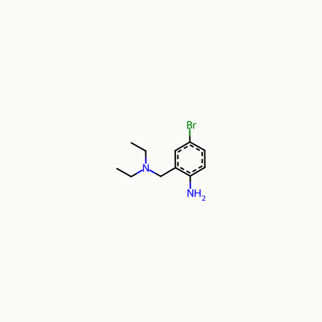 CCN(CC)Cc1cc(Br)ccc1N